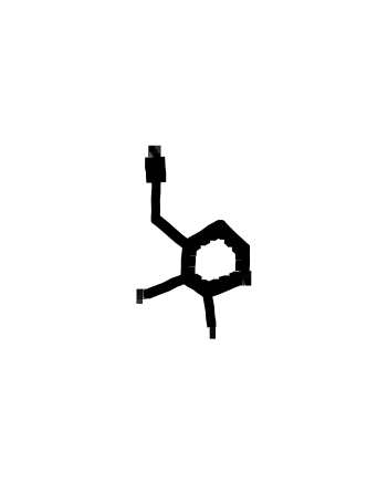 N#CCc1ccnc(I)c1F